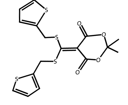 CC1(C)OC(=O)C(=C(SCc2cccs2)SCc2cccs2)C(=O)O1